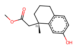 COC(=O)C[C@]1(C)CCCc2ccc(O)cc21